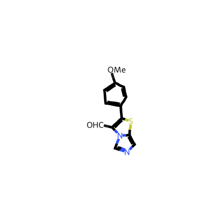 COc1ccc(-c2sc3cncn3c2C=O)cc1